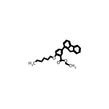 CCCCCCOc1ccc(-c2cccc3c2Cc2ccccc2-3)cc1C(=O)OCC